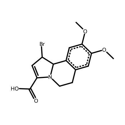 COc1cc2c(cc1OC)C1C(Br)C=C(C(=O)O)N1CC2